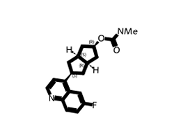 CNC(=O)O[C@@H]1C[C@@H]2C[C@H](c3ccnc4ccc(F)cc34)C[C@@H]2C1